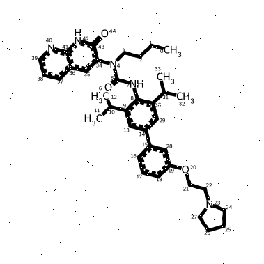 CCCCN(C(=O)Nc1c(C(C)C)cc(-c2cccc(OCCN3CCCC3)c2)cc1C(C)C)c1cc2cccnc2[nH]c1=O